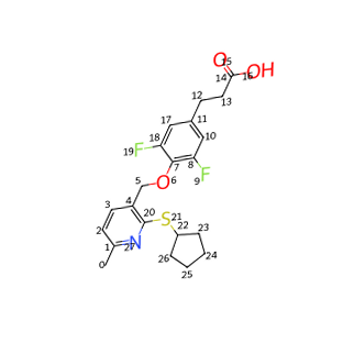 Cc1ccc(COc2c(F)cc(CCC(=O)O)cc2F)c(SC2CCCC2)n1